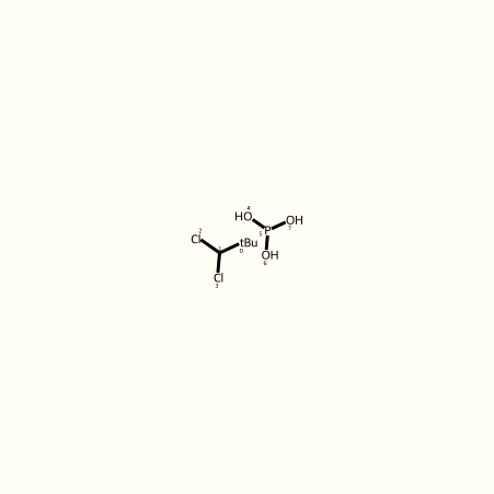 CC(C)(C)C(Cl)Cl.OP(O)O